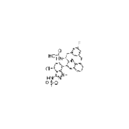 Cn1nc(NS(C)(=O)=O)c2c(Cl)ccc(-c3cc4ccccc4nc3C(Cc3cc(F)cc(F)c3)NC(=O)O)c21